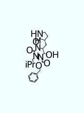 CC(C)CN1C(=O)NC(C[C@@H]2CCNC2=O)C(O)N1C(=O)OCc1ccccc1